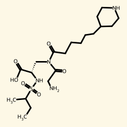 CCC(C)S(=O)(=O)N[C@@H](CN(C(=O)CN)C(=O)CCCCCC1CCNCC1)C(=O)O